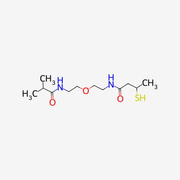 CC(S)CC(=O)NCCOCCNC(=O)C(C)C